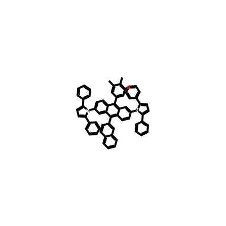 Cc1cc(-c2c3ccc(-n4c(-c5ccccc5)ccc4-c4ccccc4)cc3c(-c3ccc4ccccc4c3)c3ccc(-n4c(-c5ccccc5)ccc4-c4ccccc4)cc23)cc(C)c1C